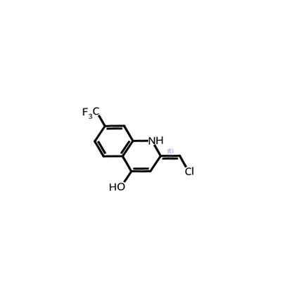 OC1=C/C(=C\Cl)Nc2cc(C(F)(F)F)ccc21